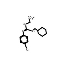 O=C(O)CNC(=Nc1ccc(Cl)cc1)NCC1CCCCC1